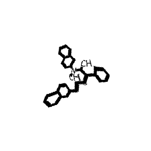 CC(C(C/C=C/c1ccc2ccccc2c1)c1ccccc1)N(C)c1ccc2ccccc2c1